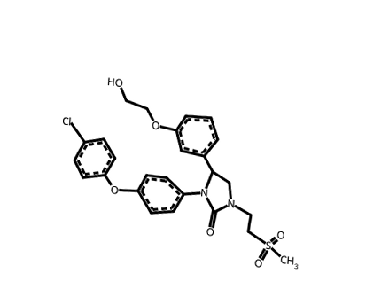 CS(=O)(=O)CCN1CC(c2cccc(OCCO)c2)N(c2ccc(Oc3ccc(Cl)cc3)cc2)C1=O